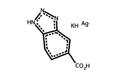 O=C(O)c1ccc2[nH]nnc2c1.[Ag].[KH]